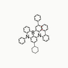 c1ccc(-c2ccc3c(c2)B2c4ccccc4N(c4ccccc4)c4cc(C5CCCCC5)cc(c42)N3c2ccccc2-c2ccccc2)cc1